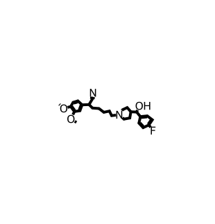 COc1ccc(C(C#N)CCCCCN2CCC(C(O)c3ccc(F)cc3)CC2)cc1OC